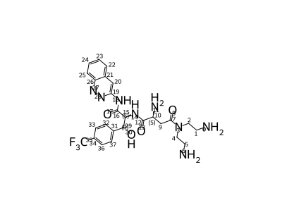 NCCN(CCN)C(=O)C[C@H](N)C(=O)N[C@H](C(=O)Nc1cc2ccccc2nn1)[C@H](O)c1ccc(C(F)(F)F)cc1